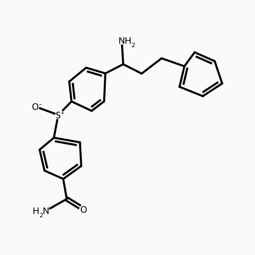 NC(=O)c1ccc([S+]([O-])c2ccc(C(N)CCc3ccccc3)cc2)cc1